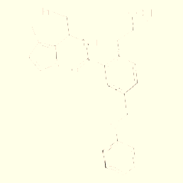 Cc1ccsc1C(CC(C)C)NC(=O)c1cc(COc2ccccc2)ccc1CCC(=O)O